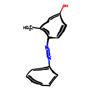 O=C(O)c1cc(O)ccc1N=Nc1ccccc1